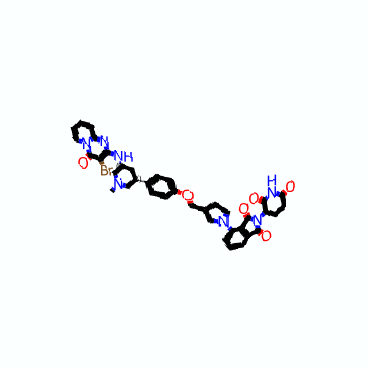 CN1C[C@H](Nc2nc3ccccn3c(=O)c2Br)C[C@H](c2ccc(OCC3CCN(c4cccc5c4C(=O)N(C4CCC(=O)NC4=O)C5=O)C3)cc2)C1